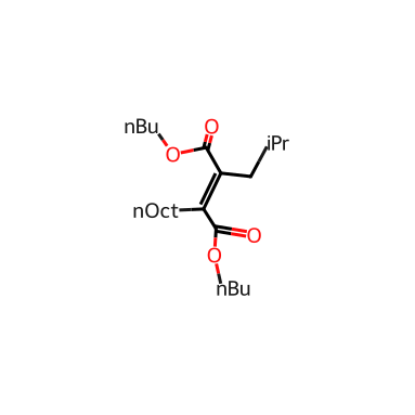 CCCCCCCCC(C(=O)OCCCC)=C(CC(C)C)C(=O)OCCCC